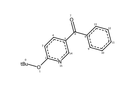 CC(C)(C)Oc1ccc(C(=O)c2ccccc2)cn1